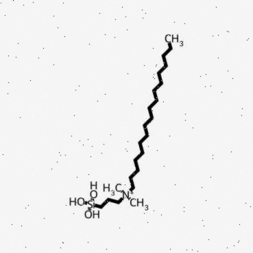 CCCCCCCCCCCCCCCCCC[N+](C)(C)CCC[Si](O)(O)O